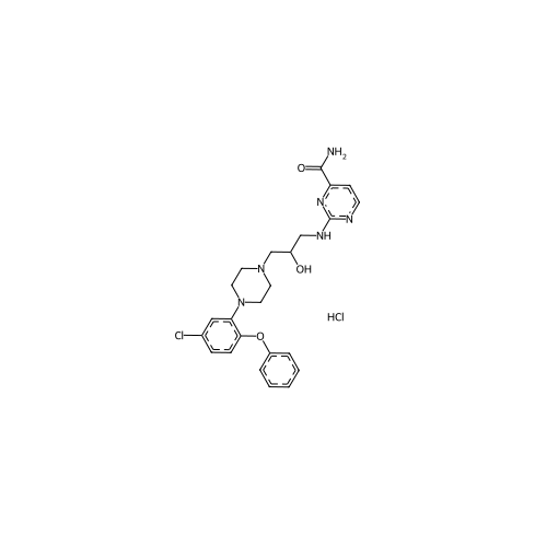 Cl.NC(=O)c1ccnc(NCC(O)CN2CCN(c3cc(Cl)ccc3Oc3ccccc3)CC2)n1